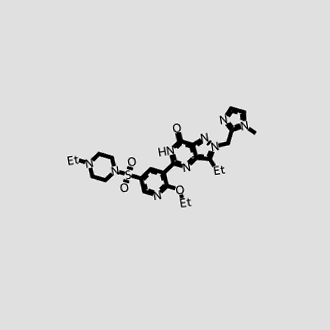 CCOc1ncc(S(=O)(=O)N2CCN(CC)CC2)cc1-c1nc2c(CC)n(Cc3nccn3C)nc2c(=O)[nH]1